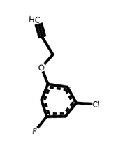 C#CCOc1[c]c(Cl)cc(F)c1